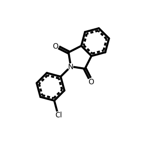 O=C1c2ccccc2C(=O)N1c1cccc(Cl)c1